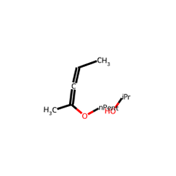 CC(C)O.CC=C=C(C)OCCCCC